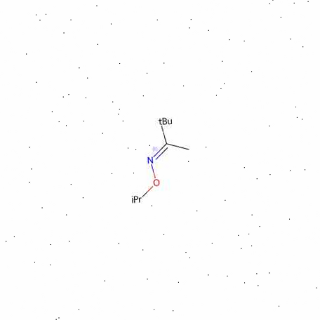 C/C(=N\OC(C)C)C(C)(C)C